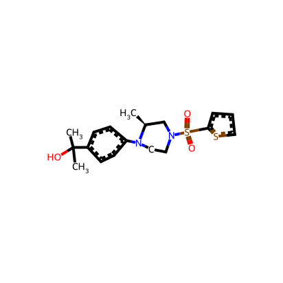 C[C@H]1CN(S(=O)(=O)c2cccs2)CCN1c1ccc(C(C)(C)O)cc1